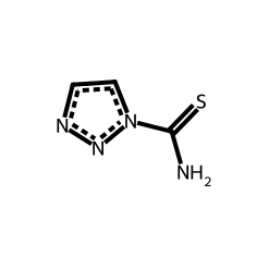 NC(=S)n1ccnn1